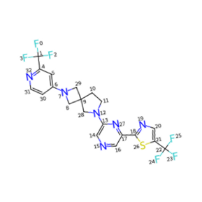 FC(F)(F)c1cc(N2CC3(CCN(c4cncc(-c5ncc(C(F)(F)F)s5)n4)C3)C2)ccn1